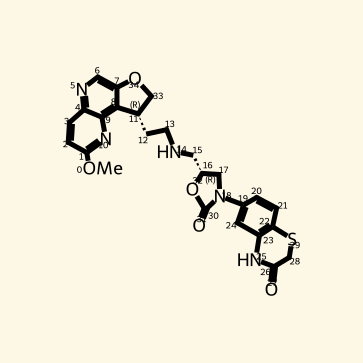 COc1ccc2ncc3c(c2n1)[C@@H](CCNC[C@@H]1CN(c2ccc4c(c2)NC(=O)CS4)C(=O)O1)CO3